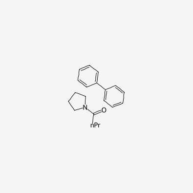 CCCC(=O)N1CCCC1.c1ccc(-c2ccccc2)cc1